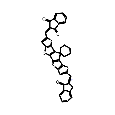 O=C1/C(=C\c2cc3sc4c(c3s2)C2(CCCCC2)c2c-4sc3cc(C=C4C(=O)c5ccccc5C4=O)sc23)Cc2ccccc21